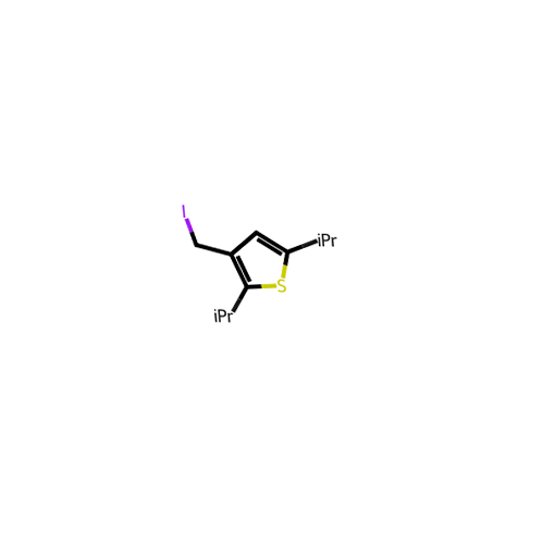 CC(C)c1cc(CI)c(C(C)C)s1